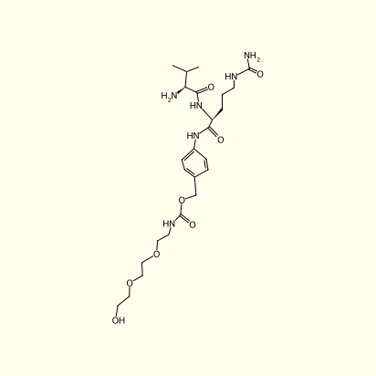 CC(C)[C@H](N)C(=O)N[C@@H](CCCNC(N)=O)C(=O)Nc1ccc(COC(=O)NCCOCCOCCO)cc1